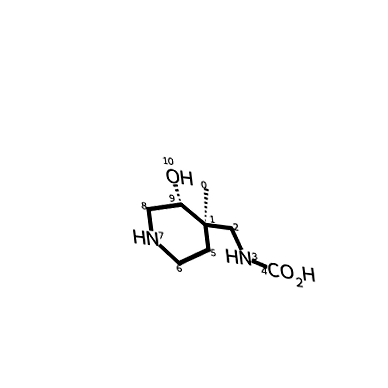 C[C@]1(CNC(=O)O)CCNC[C@@H]1O